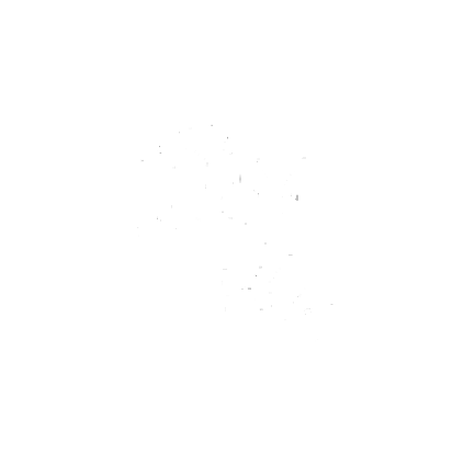 CN(C)Cc1ccc(-c2c(-c3cccc(OC(F)(F)F)c3)cc3n2[C@@H](CCCN(C(=O)OC(=O)C(F)(F)F)C(C)(C)C)CNC3=O)cc1